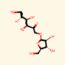 O=C(CO[C@@H]1O[C@H](CO)[C@@H](O)[C@@H]1O)[C@@H](O)[C@H](O)[C@H](O)CO